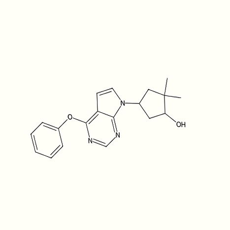 CC1(C)CC(n2ccc3c(Oc4ccccc4)ncnc32)CC1O